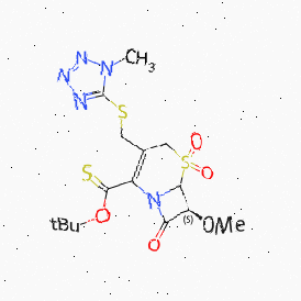 CO[C@H]1C(=O)N2C(C(=S)OC(C)(C)C)=C(CSc3nnnn3C)CS(=O)(=O)C12